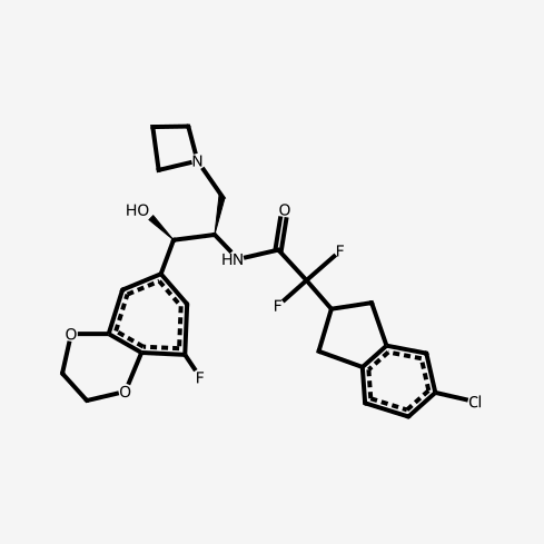 O=C(N[C@H](CN1CCC1)[C@H](O)c1cc(F)c2c(c1)OCCO2)C(F)(F)C1Cc2ccc(Cl)cc2C1